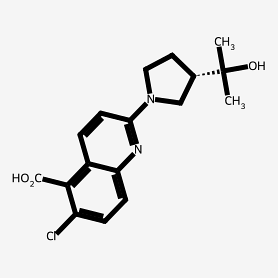 CC(C)(O)[C@H]1CCN(c2ccc3c(C(=O)O)c(Cl)ccc3n2)C1